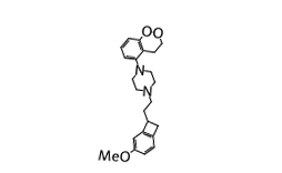 COc1ccc2c(c1)C(CCN1CCN(c3cccc4c3CCOO4)CC1)C2